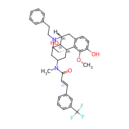 COc1c(O)ccc2c1[C@]13CCN(CCc4ccccc4)[C@H](C2)[C@]1(O)CCC(N(C)C(=O)/C=C/c1cccc(C(F)(F)F)c1)C3